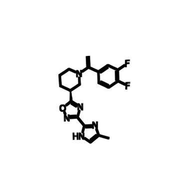 C=C(c1ccc(F)c(F)c1)N1CCC[C@H](c2nc(-c3nc(C)c[nH]3)no2)C1